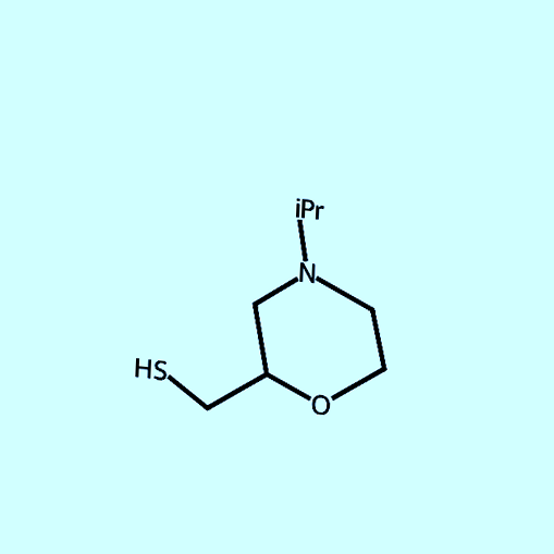 CC(C)N1CCOC(CS)C1